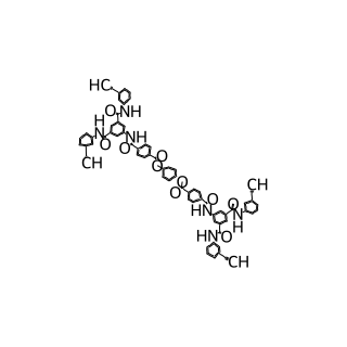 C#Cc1cccc(NC(=O)c2cc(NC(=O)c3ccc(C(=O)Oc4ccc(OC(=O)c5ccc(C(=O)Nc6cc(C(=O)Nc7cccc(C#C)c7)cc(C(=O)Nc7cccc(C#C)c7)c6)cc5)cc4)cc3)cc(C(=O)Nc3cccc(C#C)c3)c2)c1